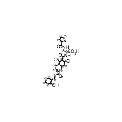 O=C(NC[C@H](NC(=O)c1c(Cl)cc2c(c1Cl)CCN(C(=O)/C=C/c1ccccc1O)C2)C(=O)O)c1cccs1